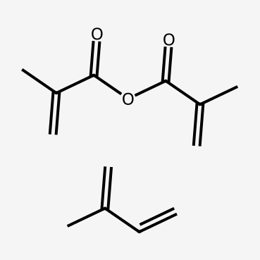 C=C(C)C(=O)OC(=O)C(=C)C.C=CC(=C)C